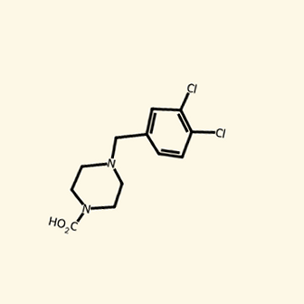 O=C(O)N1CCN(Cc2ccc(Cl)c(Cl)c2)CC1